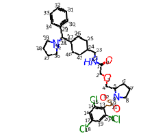 O=C(COCC1CCCN1S(=O)(=O)c1c(Cl)cc(Cl)cc1Cl)NCC1CCC(C(c2ccccc2)N2CCCC2)CC1